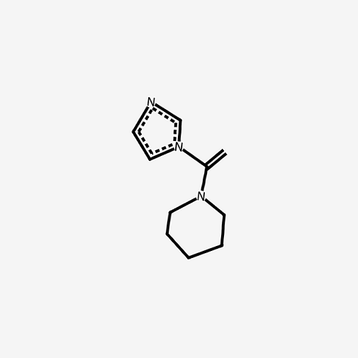 C=C(N1CCCCC1)n1ccnc1